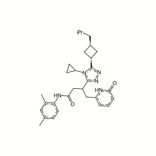 Cc1ccc(NC(=O)CC(Cc2cccc(=O)[nH]2)c2nnc([C@H]3C[C@@H](CC(C)C)C3)n2C2CC2)c(C)c1